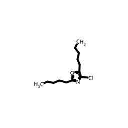 CCCCCc1nc(Cl)c(CCCCC)o1